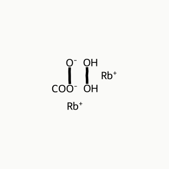 O=C([O-])[O-].OO.[Rb+].[Rb+]